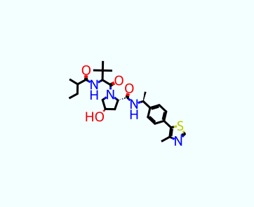 CCC(C)C(=O)NC(C(=O)N1C[C@H](O)C[C@H]1C(=O)N[C@@H](C)c1ccc(-c2scnc2C)cc1)C(C)(C)C